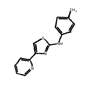 Cc1ccc(Nc2nc(-c3ccccn3)cs2)cc1